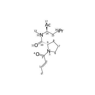 C/C=C/C(=O)N1CCC[C@H]1C(=O)N(C)[C@H](CC(C)C)C(C)=O